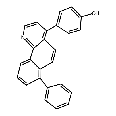 Oc1ccc(-c2ccnc3c2ccc2c(-c4ccccc4)cccc23)cc1